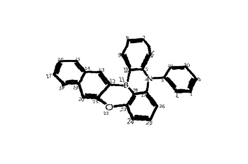 c1ccc(N2c3ccccc3B3c4cc5ccccc5cc4Oc4cccc2c43)cc1